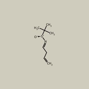 C=CC/C=N/[S@@+]([O-])C(C)(C)C